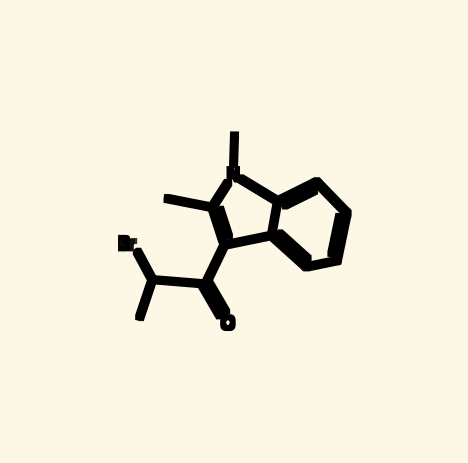 Cc1c(C(=O)C(C)Br)c2ccccc2n1C